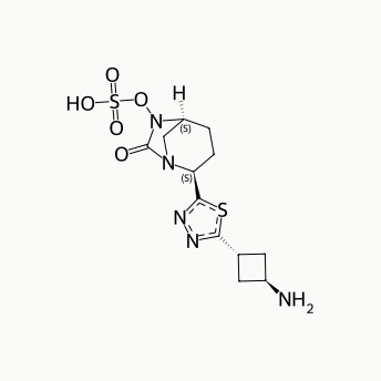 N[C@H]1C[C@H](c2nnc([C@@H]3CC[C@H]4CN3C(=O)N4OS(=O)(=O)O)s2)C1